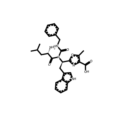 Cc1oc([C@@H](Cc2c[nH]c3ccccc23)N(C(=O)NCc2ccccc2)C(=O)[C@@H](N)CC(C)C)nc1C(=O)O